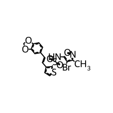 Cc1noc(NS(=O)(=O)c2sccc2C=Cc2ccc3c(c2)OCO3)c1Br